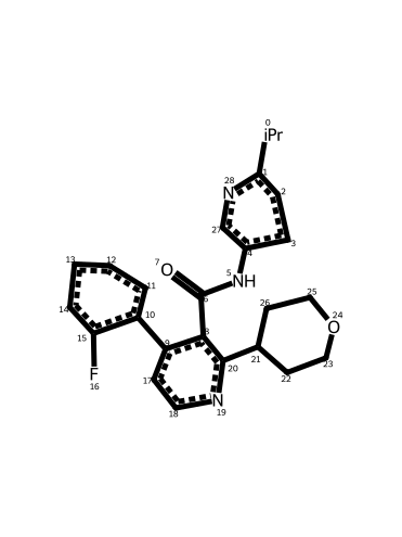 CC(C)c1ccc(NC(=O)c2c(-c3ccccc3F)ccnc2C2CCOCC2)cn1